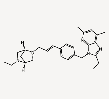 CCc1nc2c(C)cc(C)nc2n1Cc1ccc(/C=C/CN2C[C@H]3C[C@@H]2CN3CC)cc1